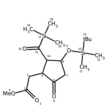 COC(=O)CC1C(=O)CC(O[Si](C)(C)C(C)(C)C)C1C(=O)[Si](C)(C)C